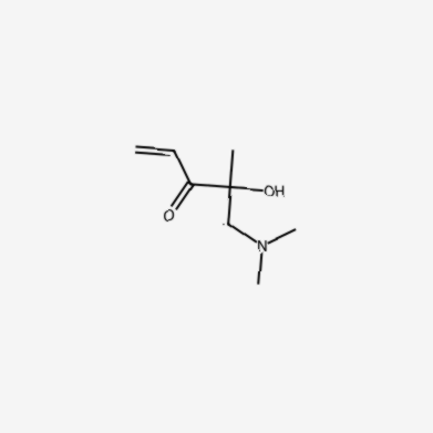 C=CC(=O)C(C)(O)[CH]N(C)C